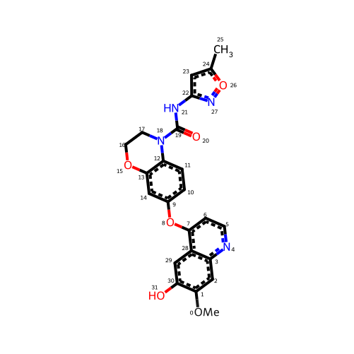 COc1cc2nccc(Oc3ccc4c(c3)OCCN4C(=O)Nc3cc(C)on3)c2cc1O